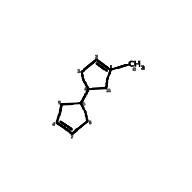 CC1=CCC(C2CC=CC2)C1